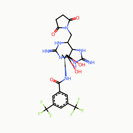 N=C1NC2C(CN3C(=O)CCC3=O)NC(=N)N3C[C@H](NC(=O)c4cc(C(F)(F)F)cc(C(F)(F)F)c4)C(O)(O)C23N1